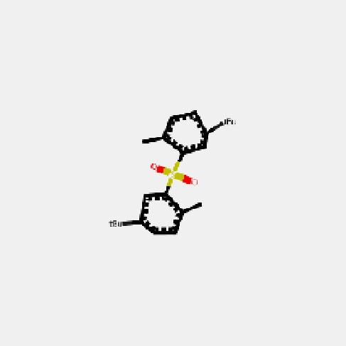 Cc1ccc(C(C)(C)C)cc1S(=O)(=O)c1cc(C(C)(C)C)ccc1C